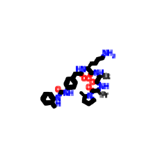 CC[C@H](NC(=O)[C@H](CCCCN)NC(=O)Cc1ccc(NC(=O)Nc2ccccc2C)cc1)C(=O)N[C@H](C(=O)N1CCC[C@H]1C)C(C)C